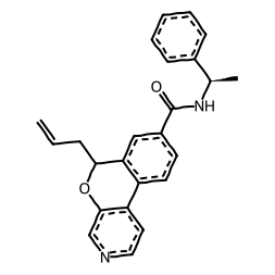 C=CCC1Oc2cnccc2-c2ccc(C(=O)N[C@H](C)c3ccccc3)cc21